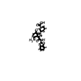 Nc1ncc(Cl)c2c1c(C(=O)Nc1nc3ccccc3o1)nn2C1CCCN(C(=O)O)C1